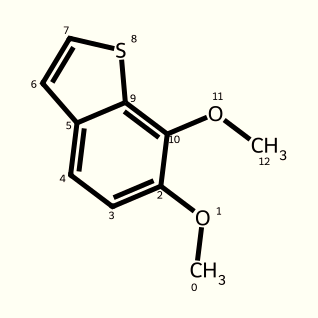 COc1ccc2ccsc2c1OC